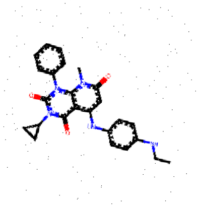 CCNc1ccc(Nc2cc(=O)n(C)c3c2c(=O)n(C2CC2)c(=O)n3-c2ccccc2)cc1